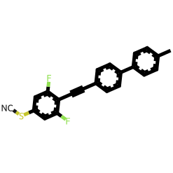 Cc1ccc(-c2ccc(C#Cc3c(F)cc(SC#N)cc3F)cc2)cc1